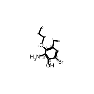 CCCOc1c(CC)cc(Br)c(O)c1N